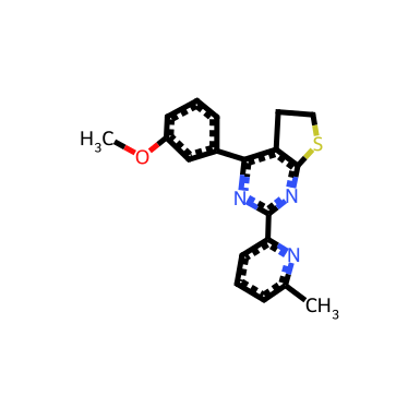 COc1cccc(-c2nc(-c3cccc(C)n3)nc3c2CCS3)c1